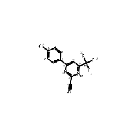 N#Cc1nc(-c2ccc(Cl)cc2)cc(C(F)(F)F)n1